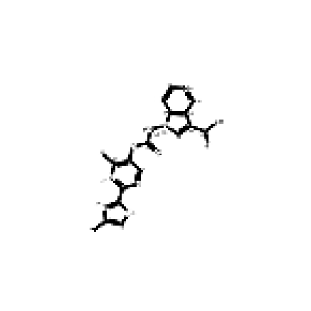 Cc1csc(-c2ncc(OC(=O)Nn3cc(C(F)F)c4cnccc43)c(C)n2)n1